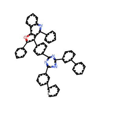 c1ccc(-c2cccc(-c3nc(-c4ccc(-c5c(-c6ccccc6)oc6c5c(-c5ccccc5)nc5ccccc56)cc4)nc(-c4cccc(-c5ccccc5)c4)n3)c2)cc1